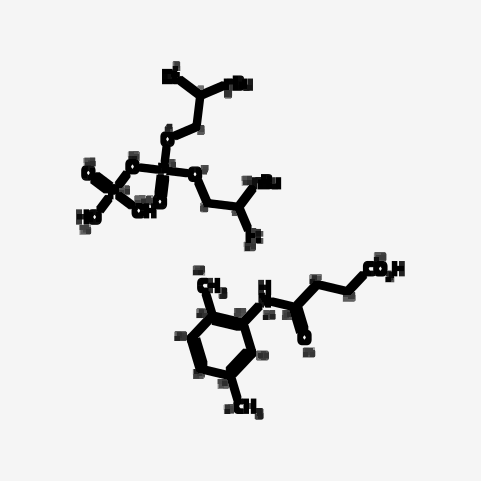 CCCCC(CC)COP(=O)(OCC(CC)CCCC)OP(=O)(O)O.Cc1ccc(C)c(NC(=O)CCC(=O)O)c1